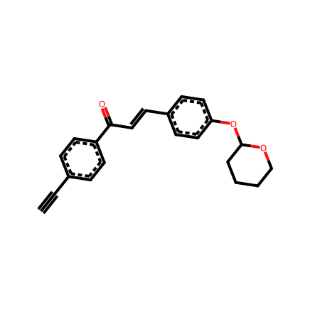 C#Cc1ccc(C(=O)C=Cc2ccc(OC3CCCCO3)cc2)cc1